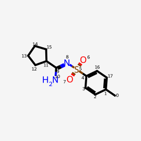 Cc1ccc(S(=O)(=O)N=C(N)C2CCCC2)cc1